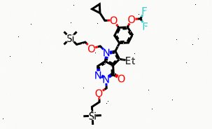 CCc1c(-c2ccc(OC(F)F)c(OCC3CC3)c2)n(COCC[Si](C)(C)C)c2cnn(COCC[Si](C)(C)C)c(=O)c12